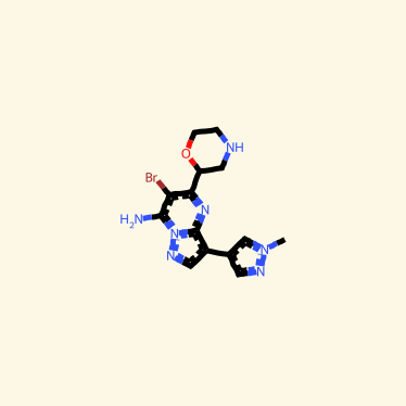 Cn1cc(-c2cnn3c(N)c(Br)c(C4CNCCO4)nc23)cn1